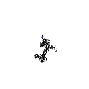 C/C=C/c1ccc([C@@H](Oc2cc(N3CCC4(CC3)C[C@@H](C(=O)OCC)N(C(=O)OCc3ccccc3)C4)nc(N)n2)C(F)(F)F)c(-n2ccc(C)n2)c1